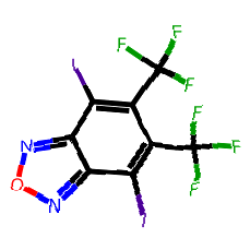 FC(F)(F)c1c(C(F)(F)F)c(I)c2nonc2c1I